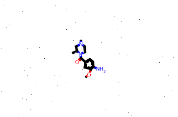 COc1cc(C(=O)N2CCN(C)CC2C)ccc1N